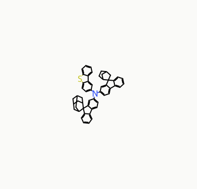 c1ccc2c(c1)-c1ccc(N(c3ccc4c(c3)C3(c5ccccc5-4)C4CC5CC(C4)CC3C5)c3ccc4sc5ccccc5c4c3)cc1C21CC2CCC1C2